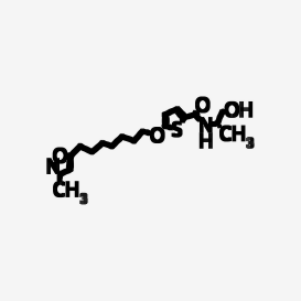 Cc1cc(CCCCCCCOc2ccc(C(=O)N[C@@H](C)CO)s2)on1